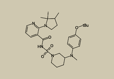 CC1CCN(c2ncccc2C(=O)NS(=O)(=O)N2CCCC(N(C)c3ccc(OC(C)(C)C)cc3)C2)C1(C)C